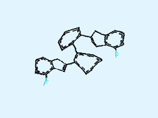 Fc1cccc2c1C=C(c1ccccc1-c1ccccc1C1=Cc3c(F)cccc3C1)C2